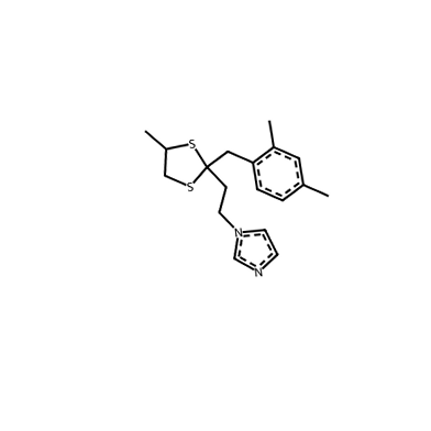 Cc1ccc(CC2(CCn3ccnc3)SCC(C)S2)c(C)c1